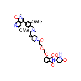 COc1cc(-c2cn(C)c(=O)c3cnccc23)cc(OC)c1CN(C)CC1CC12CCN(C(=O)CCOCCOc1cccc3c1C(=O)N(C1CCC(=O)NC1=O)C3=O)CC2